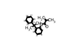 C=C(C)C(=O)Oc1ccccc1C(C)(C)c1ccccc1